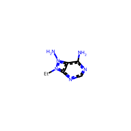 CCn1c2ncnc(N)c2n1N